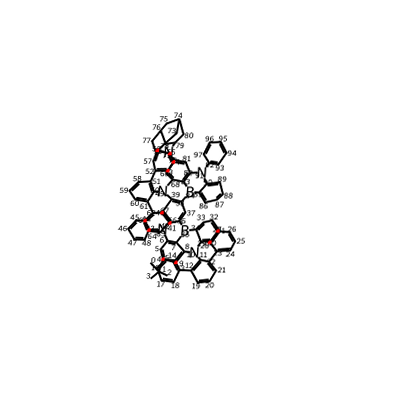 CC(C)(C)c1cc2c3c(c1)N(c1c(-c4ccccc4)cccc1-c1ccccc1)c1ccccc1B3c1cc3c(cc1N2c1ccccc1)N(c1c(-c2ccccc2)cccc1-c1ccccc1)c1cc(N2C4CC5CC(C4)CC2C5)cc2c1B3c1ccccc1N2c1ccccc1